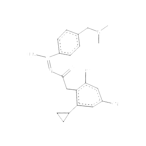 CC(C)c1cc(C#N)cc(C2CC2)c1CC(=O)/N=S(/N)c1ccc(CN(C)C)cc1